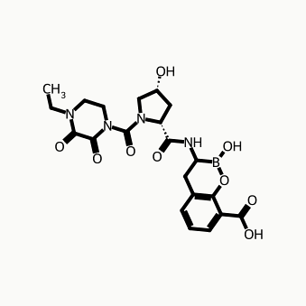 CCN1CCN(C(=O)N2C[C@H](O)C[C@@H]2C(=O)NC2Cc3cccc(C(=O)O)c3OB2O)C(=O)C1=O